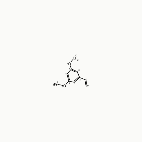 C=[C]c1cc(OC(C)C)cc(OC(F)(F)F)c1